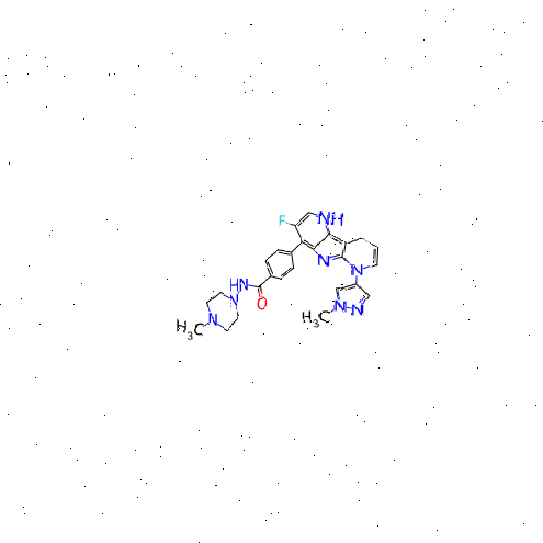 CN1CCN(NC(=O)c2ccc(-c3c(F)c[nH]c4c5c(nc3-4)N(c3cnn(C)c3)C=CC5)cc2)CC1